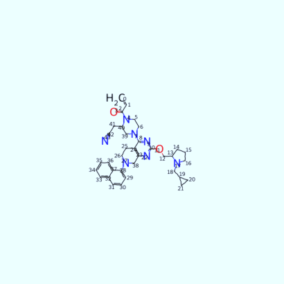 C=CC(=O)N1CCN(c2nc(OCC3CCCN3CC3CC3)nc3c2CCN(c2cccc4ccccc24)C3)CC1CC#N